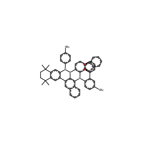 CC(C)(C)c1ccc(N2B3c4ccc5c(oc6ccccc65)c4N(c4ccc(C(C)(C)C)cc4-c4ccccc4)c4c3c(cc3ccccc43)-c3cc4c(cc32)C(C)(C)CCC4(C)C)cc1